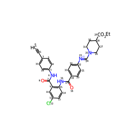 C#Cc1ccc(NC(=O)c2cc(Cl)ccc2NC(=O)c2ccc(/N=C/N3CCC(C(=O)OCC)CC3)cc2)cc1